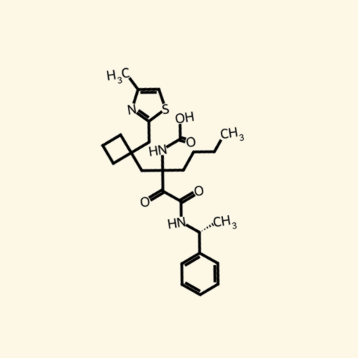 CCCCC(CC1(Cc2nc(C)cs2)CCC1)(NC(=O)O)C(=O)C(=O)N[C@H](C)c1ccccc1